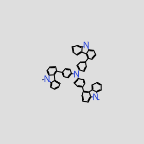 Cn1c2ccccc2c2c(-c3ccc(N(c4ccc(-c5cccc6c5c5ccccc5n6C)cc4)c4ccc(-c5cccc6c5c5ccccc5n6C)cc4)cc3)cccc21